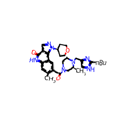 CCCCc1nc(CN2CCN(C(=O)c3cc4c(cc3C)[nH]c(=O)c3cnn(C5CCOCC5)c34)C[C@@H]2C)c[nH]1